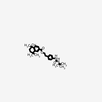 CC(C)(C)NC(=O)Nc1ccc(CCOC(=O)c2ccc3c(c2)C(C)(C)CCC3(C)C)cc1